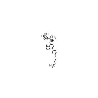 CCCCCCc1ccc(-c2ccc(CNC(C)CCP(=O)(O)O)c3ncccc23)cc1